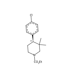 CCOC(=O)N1CC[C@@H](c2ccc(Cl)cc2)C(C)(C)C1